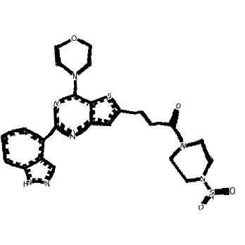 O=C(CCc1cc2nc(-c3cccc4[nH]ncc34)nc(N3CCOCC3)c2s1)N1CCN([SH](=O)=O)CC1